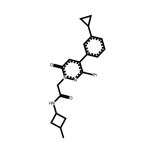 CC1CC(NC(=O)Cn2nc(C(C)C)c(-c3cccc(C4CC4)c3)cc2=O)C1